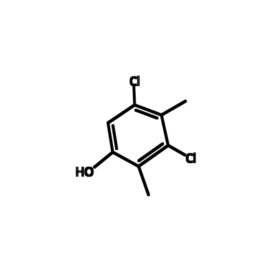 Cc1c(O)cc(Cl)c(C)c1Cl